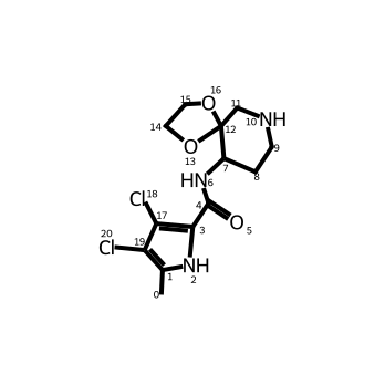 Cc1[nH]c(C(=O)NC2CCNCC23OCCO3)c(Cl)c1Cl